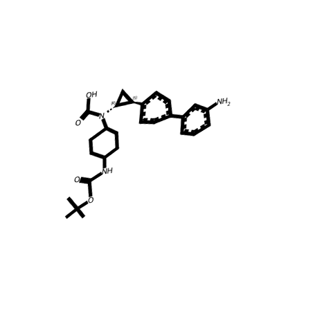 CC(C)(C)OC(=O)NC1CCC(N(C(=O)O)[C@@H]2C[C@H]2c2ccc(-c3cccc(N)c3)cc2)CC1